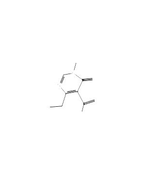 C=C(C)C1=C(CC)N=CN(C)C1=C